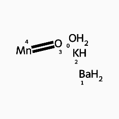 O.[BaH2].[KH].[O]=[Mn]